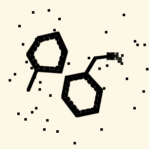 Cc1ccccc1.NCc1ccccc1